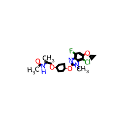 CC(=O)N[C@@H](C)CO[C@H]1CC[C@H](Oc2nc3c(F)cc(OC4CC4)c(Cl)c3n2C)CC1